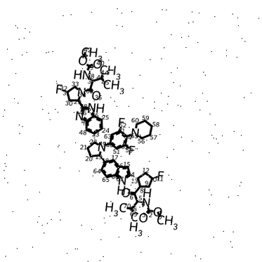 COC(=O)N[C@H](C(=O)C1C[C@H](F)C[C@H]1c1cc2cc([C@H]3CC[C@H](c4ccc5[nH]c(C6C[C@@H](F)CN6C(=O)[C@@H](NC(=O)OC)C(C)C)nc5c4)N3c3cc(F)c(N4CCCCC4)c(F)c3)ccc2[nH]1)C(C)C